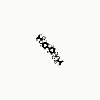 C=C(C)C(=O)OC(=O)Oc1ccc(-c2ccc(OC(=O)C(=C)C)cc2)cc1